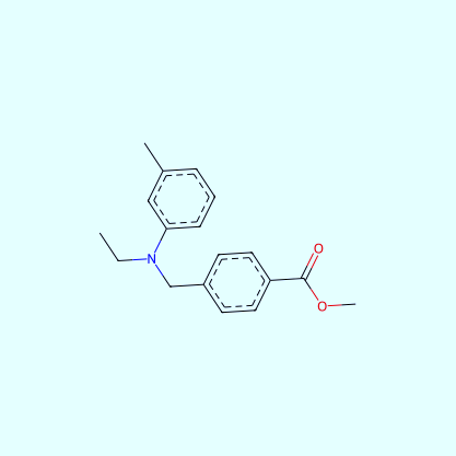 CCN(Cc1ccc(C(=O)OC)cc1)c1cccc(C)c1